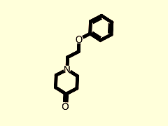 O=C1CCN(CCOc2ccccc2)CC1